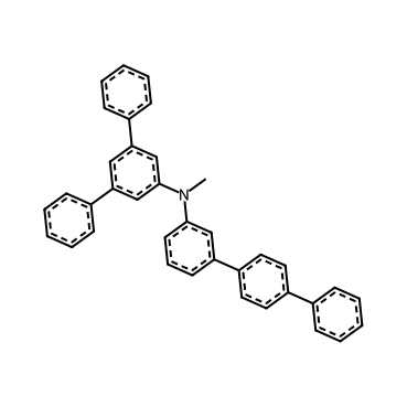 CN(c1cccc(-c2ccc(-c3ccccc3)cc2)c1)c1cc(-c2ccccc2)cc(-c2ccccc2)c1